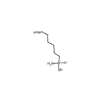 CCCCCCCCCCCC[N+](N)([O-])CCC